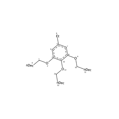 CCCCCCCCCCCOc1cc(CC)cc(OCCCCCCCCCCC)c1OCCCCCCCCCCC